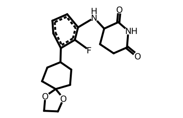 O=C1CCC(Nc2cccc(C3CCC4(CC3)OCCO4)c2F)C(=O)N1